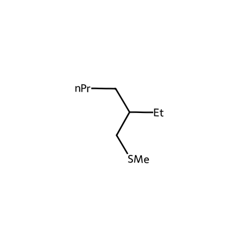 CCCCC(CC)CSC